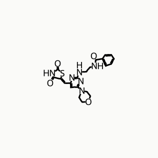 O=C1NC(=O)C(=Cc2cc(N3CCOCC3)nc(NCCNC(=O)c3ccccc3)n2)S1